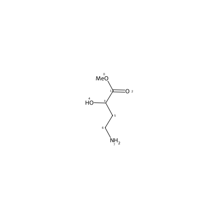 COC(=O)C(O)CCN